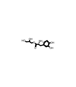 N[C@@H](Cc1ccc(O)c(O)c1)C(=O)OCC(O)CO